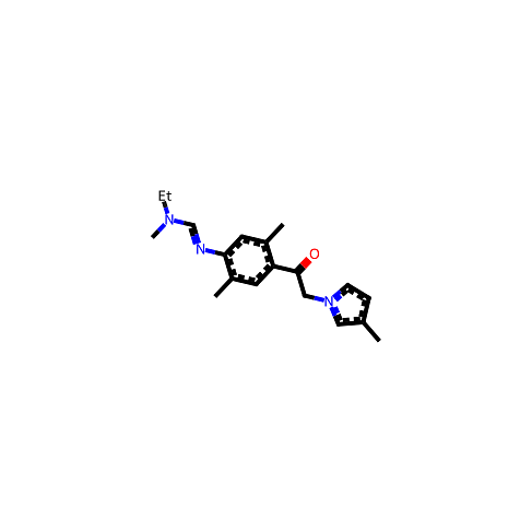 CCN(C)C=Nc1cc(C)c(C(=O)Cn2ccc(C)c2)cc1C